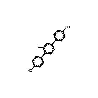 N#Cc1ccc(-c2ccc(-c3ccc(O)cc3)cc2F)cc1